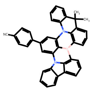 CC1(C)c2ccccc2N2c3cc(-c4ccc(C#N)cc4)cc4c3B(c3cccc1c32)c1cccc2c3ccccc3n-4c12